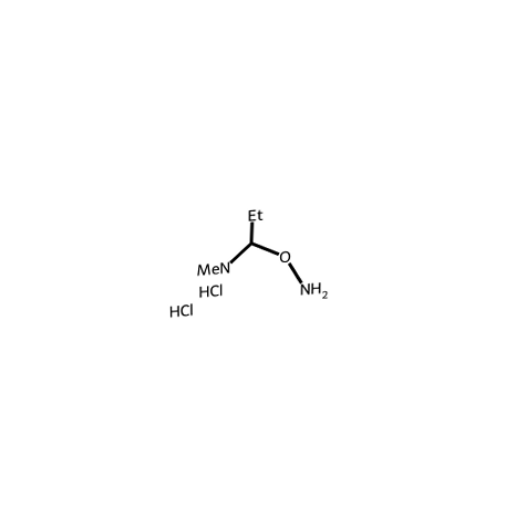 CCC(NC)ON.Cl.Cl